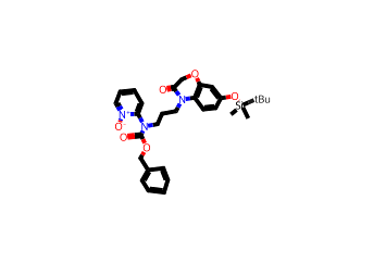 CC(C)(C)[Si](C)(C)Oc1ccc2c(c1)OCC(=O)N2CCCN(C(=O)OCc1ccccc1)c1cccc[n+]1[O-]